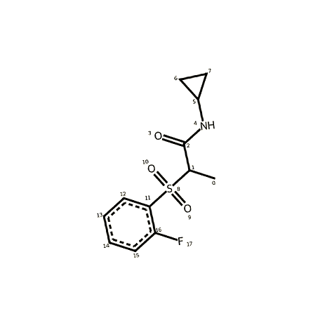 CC(C(=O)NC1CC1)S(=O)(=O)c1ccccc1F